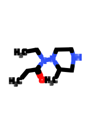 CCC(=O)N(CC)N1CCNCC1C